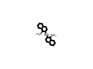 Nc1[c]([Mg][c]2ccc3ccccc3c2N)ccc2ccccc12